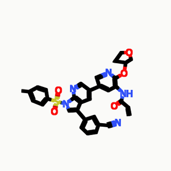 C=CC(=O)Nc1cc(-c2cnc3c(c2)c(-c2cccc(C#N)c2)cn3S(=O)(=O)c2ccc(C)cc2)cnc1OC1CCOC1